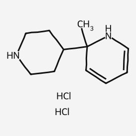 CC1(C2CCNCC2)C=CC=CN1.Cl.Cl